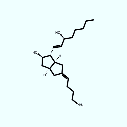 CCCCC[C@H](O)C=C[C@@H]1[C@H]2CC(=CCCCN)C[C@H]2C[C@H]1O